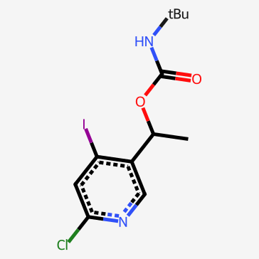 CC(OC(=O)NC(C)(C)C)c1cnc(Cl)cc1I